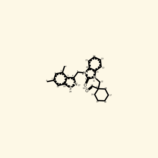 Cc1cc(C)c2c(Cn3c(=O)n(CC4(C=O)CCCCC4)c4ccccc43)nsc2c1